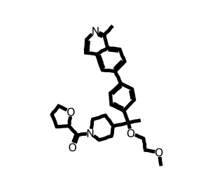 COCCOC(C)(c1ccc(-c2ccc3c(C)nccc3c2)cc1)C1CCN(C(=O)C2CCCO2)CC1